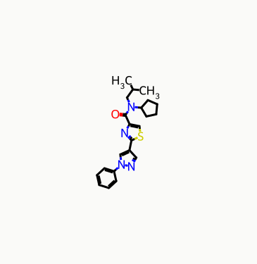 CC(C)CN(C(=O)c1csc(-c2cnn(-c3ccccc3)c2)n1)C1CCCC1